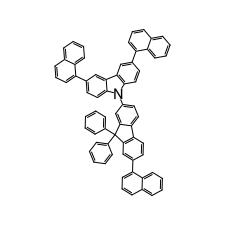 c1ccc(C2(c3ccccc3)c3cc(-c4cccc5ccccc45)ccc3-c3ccc(-n4c5ccc(-c6cccc7ccccc67)cc5c5cc(-c6cccc7ccccc67)ccc54)cc32)cc1